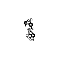 COC(=O)c1ccc(C(=O)Nc2nc(Cl)c3c(C(=O)O)cccc3n2)cc1-n1c(C)ccc1C